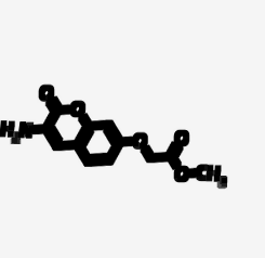 COC(=O)COc1ccc2cc(N)c(=O)oc2c1